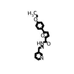 CCOc1ccc(-c2ccc(C(=O)N/N=C/c3cccnc3)o2)cc1